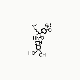 CCS(=O)(=O)c1ccc(C(OCCC(C)C)C(=O)Nc2nc3cc(CO)c(CO)cc3s2)cc1